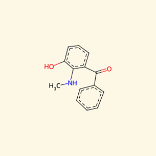 CNc1c(O)cccc1C(=O)c1ccccc1